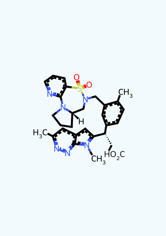 Cc1cc2cc([C@@H](CC(=O)O)c3ccc(C)c(CN4C[C@@H]5CCCN5c5ncccc5S4(=O)=O)c3)n(C)c2nn1